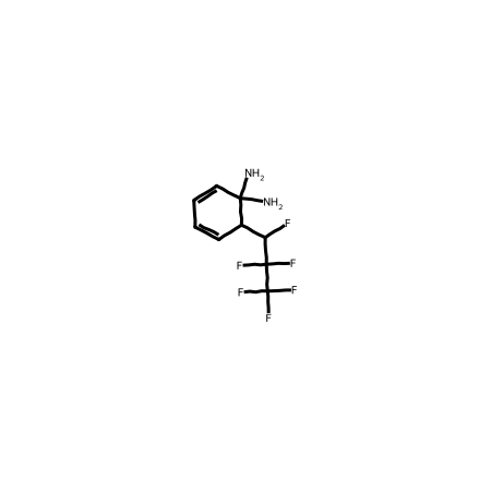 NC1(N)C=CC=CC1C(F)C(F)(F)C(F)(F)F